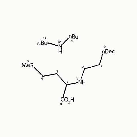 CCCCCCCCCCCCNC(CCSC)C(=O)O.CCCCNCCCC